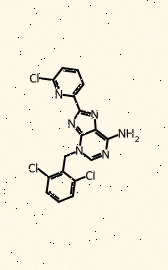 Nc1ncn(Cc2c(Cl)cccc2Cl)c2nc(-c3cccc(Cl)n3)nc1-2